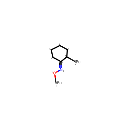 CCCCON=C1CCCCC1C(C)CC